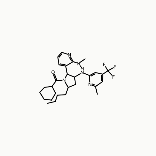 CCCCC1CC(Nc2cc(C(F)(F)F)cc(C)n2)C(c2cccnc2N(C)C)N1C(=O)C1CCCCC1